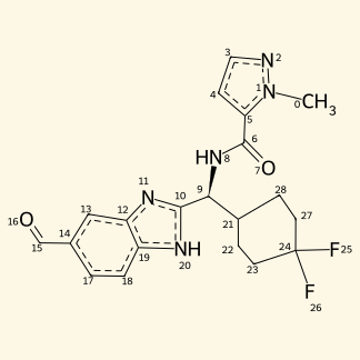 Cn1nccc1C(=O)N[C@H](c1nc2cc(C=O)ccc2[nH]1)C1CCC(F)(F)CC1